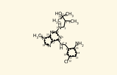 CC(CNc1nc(NCc2cc(Cl)ccc2N)c2ncn(C)c2n1)C(C)(C)O